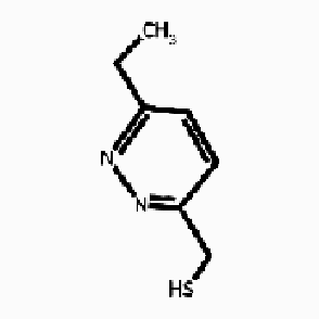 CCc1ccc(CS)nn1